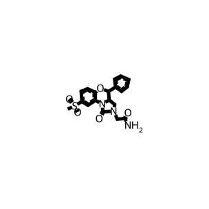 CS(=O)(=O)c1ccc2c(c1)N1C(=O)N(CC(N)=O)CC1C(c1ccccc1)O2